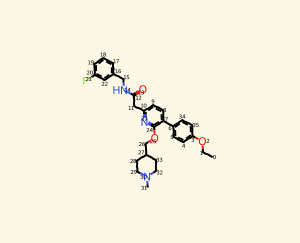 CCOc1ccc(-c2ccc(CC(=O)NCc3cccc(F)c3)nc2OCC2CCN(C)CC2)cc1